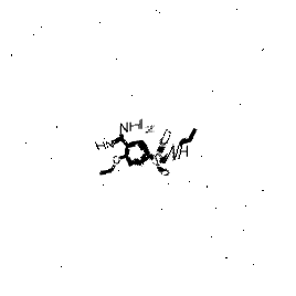 CCCNS(=O)(=O)c1ccc(OCC)c(C(=N)N)c1